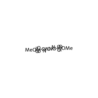 COC(=O)[C@H](C)OC(=O)c1ccc(N2CCN(c3ccc(C(=O)O[C@@H](C)C(=O)OC)cn3)CC2)nc1